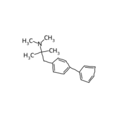 CN(C)C(C)(C)Cc1ccc(-c2ccccc2)cc1